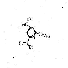 CCNc1nc(OC)nc(N(CC)CC)n1